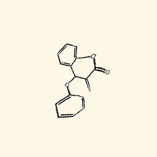 O=C1Oc2ccccc2C(Oc2ccccc2)C1=S